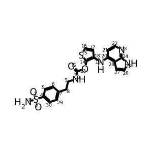 NS(=O)(=O)c1ccc(CCNC(=O)Oc2sccc2Nc2ccnc3[nH]ccc23)cc1